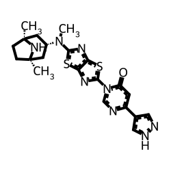 CN(c1nc2sc(-n3cnc(-c4cn[nH]c4)cc3=O)nc2s1)[C@H]1C[C@]2(C)CC[C@](C)(C1)N2